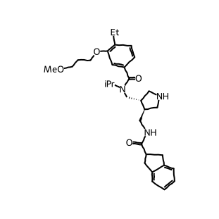 CCc1ccc(C(=O)N(C[C@@H]2CNC[C@H]2CNC(=O)C2Cc3ccccc3C2)C(C)C)cc1OCCCOC